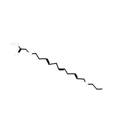 CCCSCC=CCC=CCC=CCCSCC(=O)O